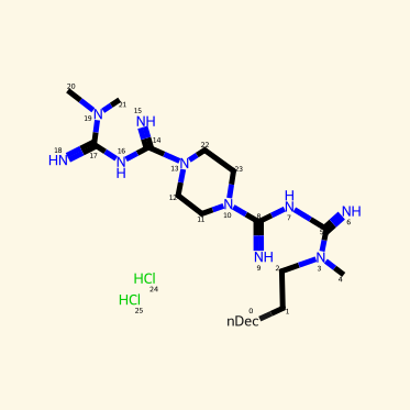 CCCCCCCCCCCCN(C)C(=N)NC(=N)N1CCN(C(=N)NC(=N)N(C)C)CC1.Cl.Cl